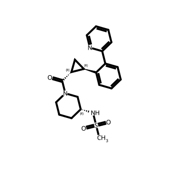 CS(=O)(=O)N[C@@H]1CCCN(C(=O)[C@@H]2C[C@H]2c2ccccc2-c2ccccn2)C1